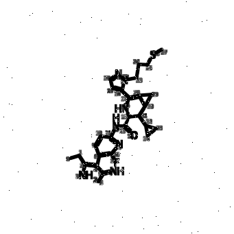 CC/C(N)=C(/C(C)=N)c1ccc(NC(=O)[C@H]2NC(c3ccnn3CCCSC)=C3CC3C2C2CC2)nc1F